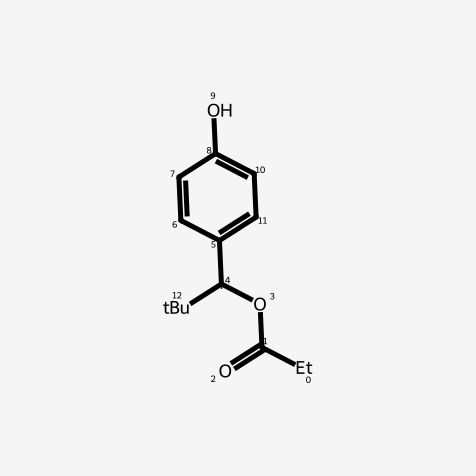 CCC(=O)O[C](c1ccc(O)cc1)C(C)(C)C